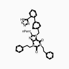 CCCCCc1nc2c(c(=O)n(CCc3ccccc3)c(=O)n2CCc2ccccc2)n1Cc1ccc(-c2ccccc2-c2nnn[nH]2)cc1